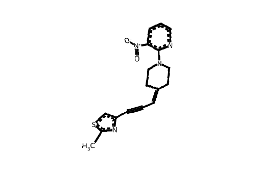 Cc1nc(C#CC=C2CCN(c3ncccc3[N+](=O)[O-])CC2)cs1